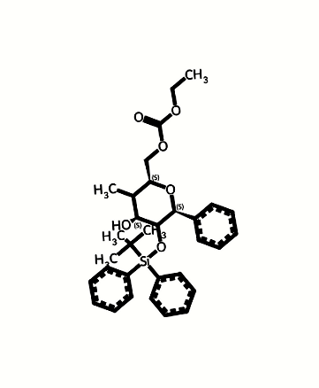 CCOC(=O)OC[C@H]1O[C@@H](c2ccccc2)C(O[Si](c2ccccc2)(c2ccccc2)C(C)(C)C)[C@@H](O)C1C